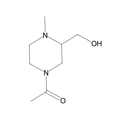 CC(=O)N1CCN(C)C(CO)C1